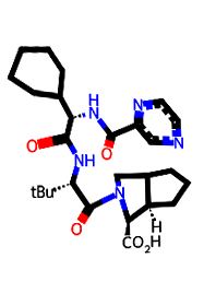 CC(C)(C)[C@H](NC(=O)[C@@H](NC(=O)c1cnccn1)C1CCCCC1)C(=O)N1CC2CCC[C@H]2[C@H]1C(=O)O